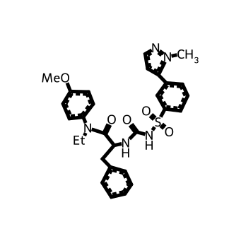 CCN(C(=O)C(Cc1ccccc1)NC(=O)NS(=O)(=O)c1cccc(-c2ccnn2C)c1)c1ccc(OC)cc1